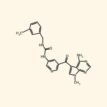 Cc1cccc(CNC(=O)Nc2cncc(C(=O)c3cn(C)c4ncnc(N)c34)c2)c1